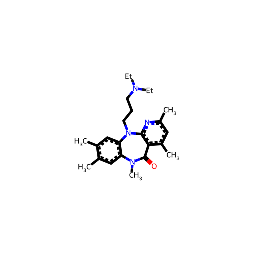 CCN(CC)CCCN1c2cc(C)c(C)cc2N(C)C(=O)c2c(C)cc(C)nc21